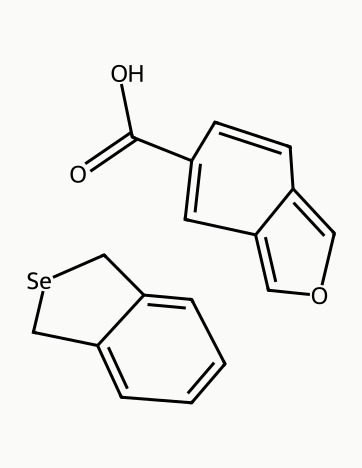 O=C(O)c1ccc2cocc2c1.c1ccc2c(c1)C[Se]C2